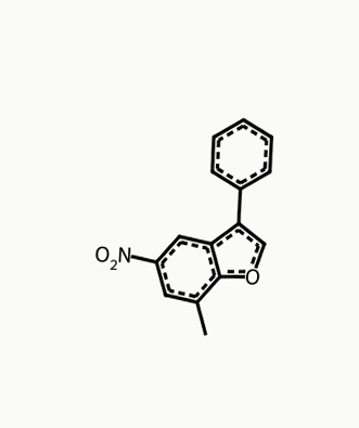 Cc1cc([N+](=O)[O-])cc2c(-c3ccccc3)coc12